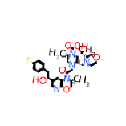 CC[C@@H]1COCCN1C[C@H]1CN(C(=O)O)[C@H](C)CN1CC(=O)N1c2cc(C(O)Cc3ccc(F)cc3)cnc2OC[C@@H]1C